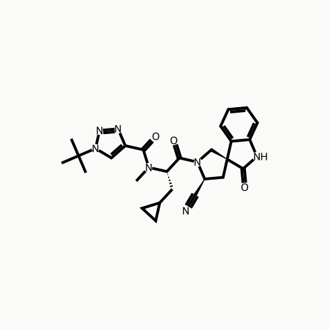 CN(C(=O)c1cn(C(C)(C)C)nn1)[C@@H](CC1CC1)C(=O)N1C[C@]2(C[C@H]1C#N)C(=O)Nc1ccccc12